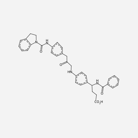 O=C(O)CCC(NC(=O)c1ccccc1)c1ccc(NCC(=O)Cc2ccc(NC(=O)N3CCc4ccccc43)cc2)cc1